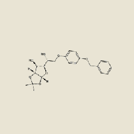 CC1(C)O[C@H]2O[C@H]([C@H](O)COc3ccc(OCc4ccccc4)cc3)[C@H](O)[C@H]2O1